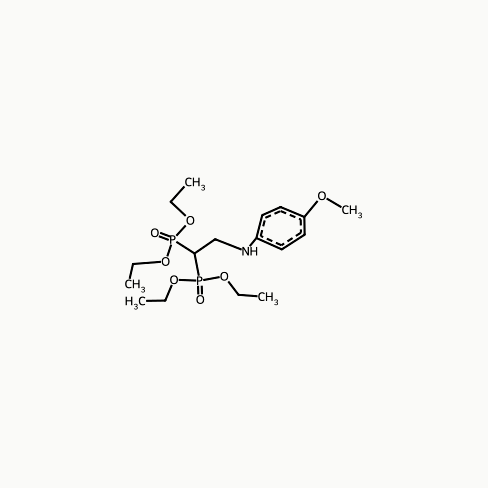 CCOP(=O)(OCC)C(CNc1ccc(OC)cc1)P(=O)(OCC)OCC